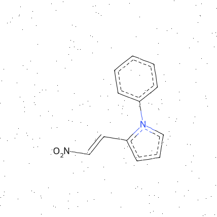 O=[N+]([O-])/C=C/c1cccn1-c1ccccc1